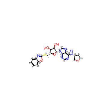 O[C@@H]1[C@H](O)[C@@H](CSc2nc3ccccc3o2)O[C@H]1n1cnc2c(N[C@@H]3CCOC3)ncnc21